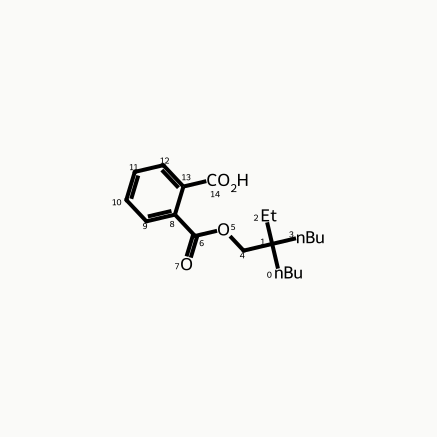 CCCCC(CC)(CCCC)COC(=O)c1ccccc1C(=O)O